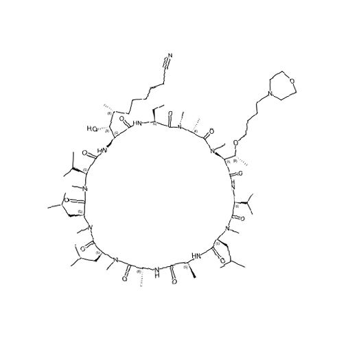 CC[C@@H]1NC(=O)[C@H]([C@H](O)[C@H](C)CCCCCC#N)NC(=O)[C@H](C(C)C)N(C)C(=O)[C@H](CC(C)C)N(C)C(=O)[C@H](CC(C)C)N(C)C(=O)[C@@H](C)NC(=O)[C@H](C)NC(=O)[C@H](CC(C)C)N(C)C(=O)[C@H](C(C)C)NC(=O)[C@H]([C@@H](C)OCCCCN2CCOCC2)N(C)C(=O)[C@@H](C)N(C)C1=O